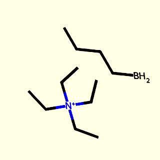 BCCCC.CC[N+](CC)(CC)CC